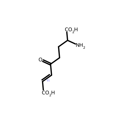 NC(CCC(=O)/C=C/C(=O)O)C(=O)O